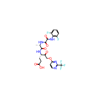 C[C@H](NC(=O)C(=O)Nc1c(F)cccc1F)C(=O)N[C@@H](CCC(=O)O)C(=O)COc1ccnc(C(F)(F)F)n1